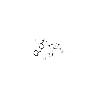 Cc1cc(C)n(C[C@H]2CN(C(=O)OC(C)(C)C)[C@H](C)CN2CC(=O)N2CC(C)(C)c3ncc(Cc4ccc(F)cc4)cc32)n1